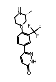 C[C@@H]1CN(c2ccc(-c3ccc(=O)[nH]n3)cc2C(F)(F)F)CCN1